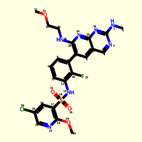 CNc1ncc2cc(-c3cccc(NS(=O)(=O)c4cc(Cl)cnc4OC)c3F)c(NCCOC)nc2n1